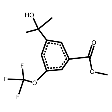 COC(=O)c1cc(OC(F)(F)F)cc(C(C)(C)O)c1